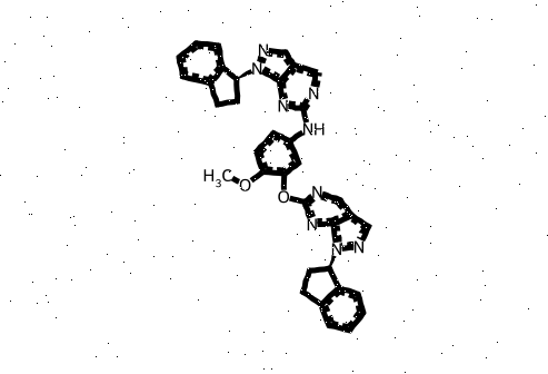 COc1ccc(Nc2ncc3cnn([C@H]4CCc5ccccc54)c3n2)cc1Oc1ncc2cnn([C@@H]3CCc4ccccc43)c2n1